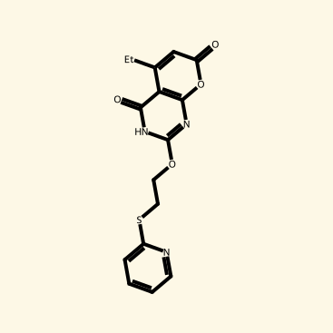 CCc1cc(=O)oc2nc(OCCSc3ccccn3)[nH]c(=O)c12